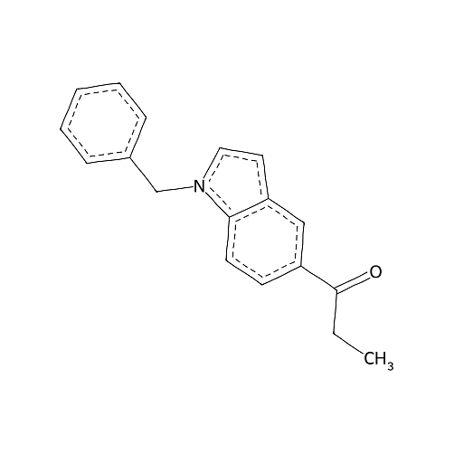 CCC(=O)c1ccc2c(ccn2Cc2ccccc2)c1